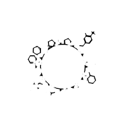 CC(C)C[C@@H]1NC(=O)[C@H](CCS(C)(=O)=O)N(C)C(=O)C[C@@H](C(=O)N2CCCCC2)N(C)C(=O)[C@H](C2CCCCC2)N(C)C(=O)C2(CCCC2)NC(=O)[C@@H]2CCCN2C(=O)[C@H](CCc2ccc(C(F)(F)F)c(Cl)c2)NC(=O)CN(C)C(=O)[C@H](CC2CCCCC2)N(C)C(=O)CN(C)C(=O)CN(C)C1=O